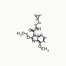 CCOc1nc2c(OC)cccc2n1C(=O)NCCC1CC1